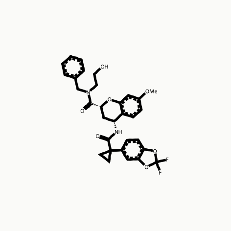 COc1ccc2c(c1)O[C@@H](C(=O)N(CCO)Cc1ccccc1)C[C@H]2NC(=O)C1(c2ccc3c(c2)OC(F)(F)O3)CC1